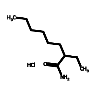 CCCCCCC(CC)C(N)=O.Cl